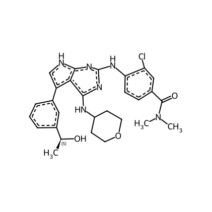 C[C@H](O)c1cccc(-c2c[nH]c3nc(Nc4ccc(C(=O)N(C)C)cc4Cl)nc(NC4CCOCC4)c23)c1